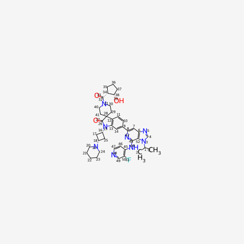 CC(C)n1cnc2cc(-c3ccc4c(c3)N([C@H]3C[C@@H](N5CCCCC5)C3)C(=O)C43CCN(C(=O)[C@@H]4CCC[C@@H]4O)CC3)nc(Nc3ccncc3F)c21